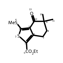 CCOC(=O)c1sc(SC)c2c1CCC(C)(C)C2=O